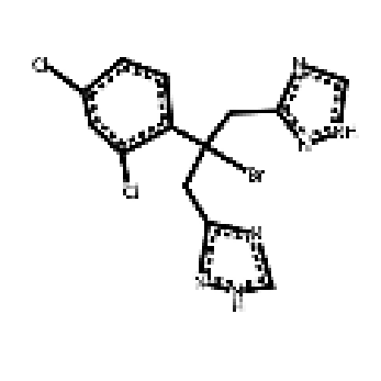 Clc1ccc(C(Br)(Cc2nc[nH]n2)Cc2nc[nH]n2)c(Cl)c1